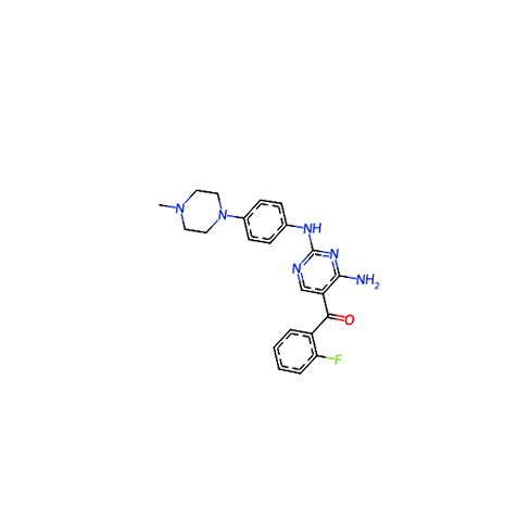 CN1CCN(c2ccc(Nc3ncc(C(=O)c4ccccc4F)c(N)n3)cc2)CC1